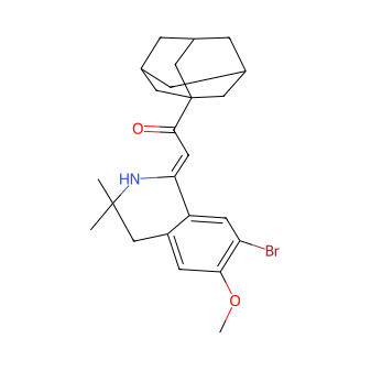 COc1cc2c(cc1Br)C(=CC(=O)C13CC4CC(CC(C4)C1)C3)NC(C)(C)C2